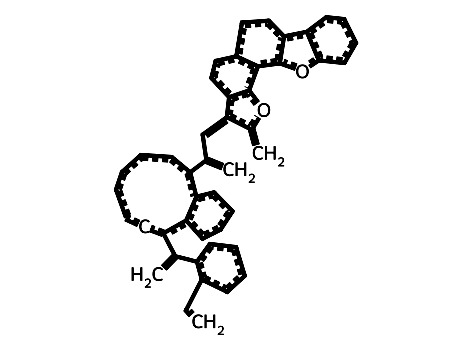 C=Cc1ccccc1C(=C)c1ccccccc(C(=C)/C=c2\c(=C)oc3c2ccc2ccc4c5ccccc5oc4c23)c2ccccc12